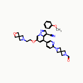 COc1ccccc1.N#Cc1cnn2cc(OCCN3CC4(COC4)C3)cc(-c3ccc(N4CC5(CN(C=O)C5)C4)nc3)c12